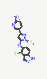 Cn1nc(-c2ccc(N)nc2)cc1Nc1ccc2[nH]ncc2c1Cl